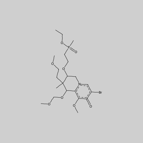 CCOP(C)(=O)CCOC1Cn2cc(Br)c(=O)c(OC)c2C(OCOC)C1(C)CCOC